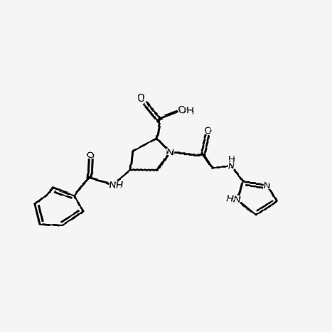 O=C(NC1CC(C(=O)O)N(C(=O)CNc2ncc[nH]2)C1)c1ccccc1